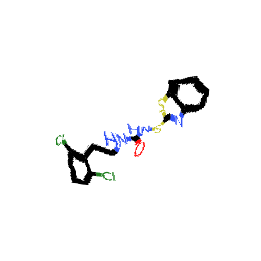 O=C(NCCc1c(Cl)cccc1Cl)NSc1nc2ccccc2s1